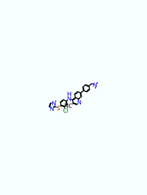 CN(C)Cc1ccc(-c2ccc3c(Nc4ccc(Sc5nccn5C)c(Cl)c4)c(C#N)cnc3c2)cc1